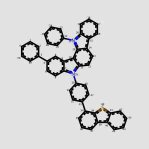 c1ccc(-c2ccc3c(c2)c2c(ccc4c5ccccc5n(-c5ccccc5)c42)n3-c2ccc(-c3cccc4c3sc3ccccc34)cc2)cc1